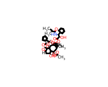 C/C=C(\C)C(=O)N[C@@H](c1ccccc1)[C@@H](O)C(=O)OC1C[C@@]2(O)[C@@H](OC(=O)c3ccccc3)[C@@H]3[C@]4(OC(C)=O)CO[C@@H]4C[C@H](O)[C@@]3(C)C(=O)[C@H](OC(C)=O)C(=C1C)C2(C)C